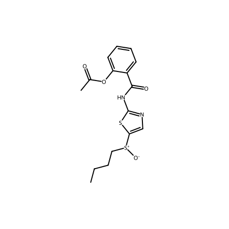 CCCC[S+]([O-])c1cnc(NC(=O)c2ccccc2OC(C)=O)s1